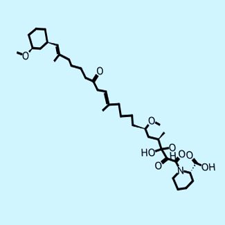 CO[C@H](CCCC/C(C)=C/CC(=O)CCCC/C(C)=C/[C@@H]1CCC[C@H](OC)C1)C[C@@H](C)C(O)(O)C(=O)C(=O)N1CCCC[C@H]1C(=O)O